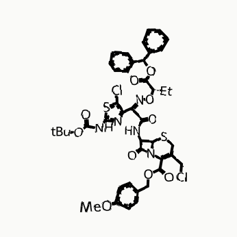 CC[C@H](O/N=C(\C(=O)NC1C(=O)N2C(C(=O)OCc3ccc(OC)cc3)=C(CCl)CSC12)c1nc(NC(=O)OC(C)(C)C)sc1Cl)C(=O)OC(c1ccccc1)c1ccccc1